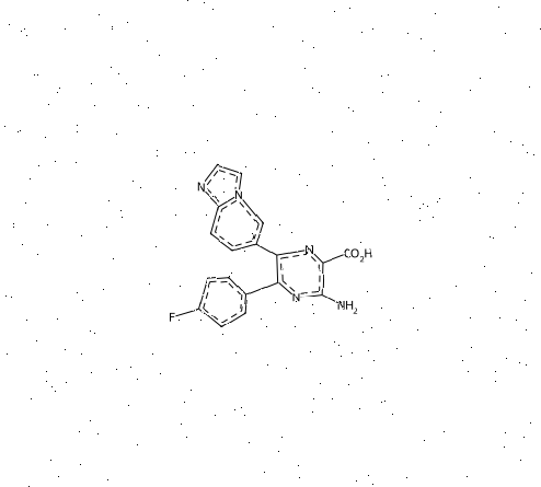 Nc1nc(-c2ccc(F)cc2)c(-c2ccc3nccn3c2)nc1C(=O)O